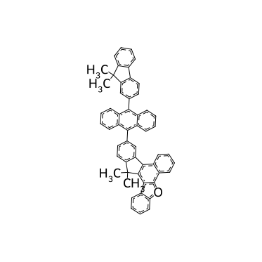 CC1(C)c2ccccc2-c2ccc(-c3c4ccccc4c(-c4ccc5c(c4)-c4c(c6c7ccccc7oc6c6ccccc46)C5(C)C)c4ccccc34)cc21